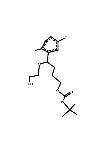 Cc1ccc(Cl)cc1C(CCCOC(=O)NC(C)(C)C)OCCO